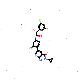 Nc1ncc(-c2ccc(NC(=O)[C@H](O)c3cc(F)cc(F)c3)cc2Cl)cc1C(=O)NC1CC1